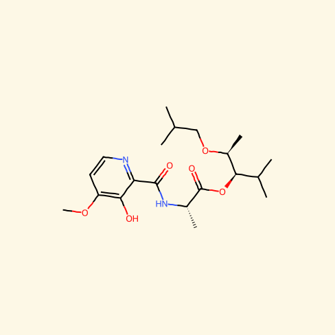 COc1ccnc(C(=O)N[C@@H](C)C(=O)O[C@H](C(C)C)[C@H](C)OCC(C)C)c1O